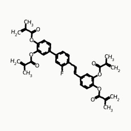 C=C(C)C(=O)Oc1ccc(/C=C/c2ccc(-c3ccc(OC(=O)C(=C)C)c(OC(=O)C(=C)C)c3)cc2F)cc1OC(=O)C(=C)C